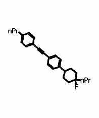 CCCc1ccc(C#Cc2ccc(C3CCC(F)(CCC)CC3)cc2)cc1